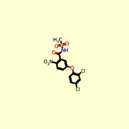 CS(=O)(=O)NC(=O)c1cc(Oc2ccc(Cl)cc2Cl)ccc1[N+](=O)[O-]